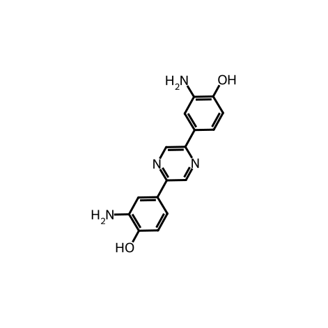 Nc1cc(-c2cnc(-c3ccc(O)c(N)c3)cn2)ccc1O